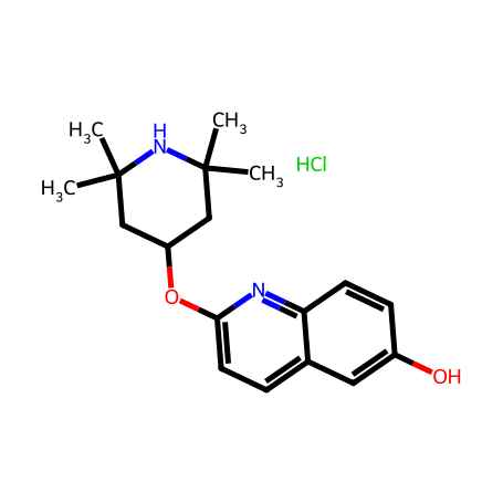 CC1(C)CC(Oc2ccc3cc(O)ccc3n2)CC(C)(C)N1.Cl